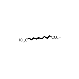 O=C(O)CCCC=CCCCCC(=O)O